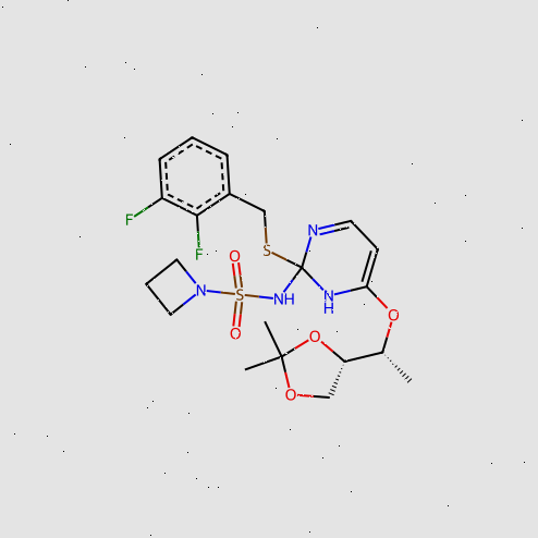 C[C@@H](OC1=CC=NC(NS(=O)(=O)N2CCC2)(SCc2cccc(F)c2F)N1)[C@@H]1COC(C)(C)O1